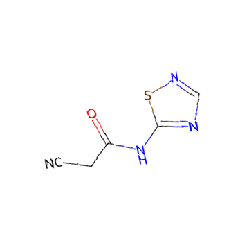 N#CCC(=O)Nc1ncns1